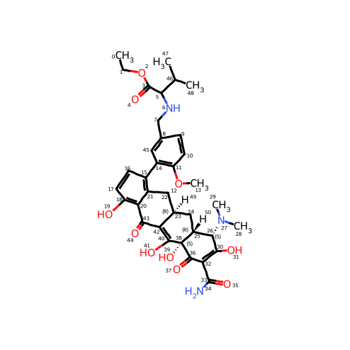 CCOC(=O)C(NCc1ccc(OC)c(-c2ccc(O)c3c2C[C@H]2C[C@@H]4[C@H](N(C)C)C(O)=C(C(N)=O)C(=O)[C@@]4(O)C(O)=C2C3=O)c1)C(C)C